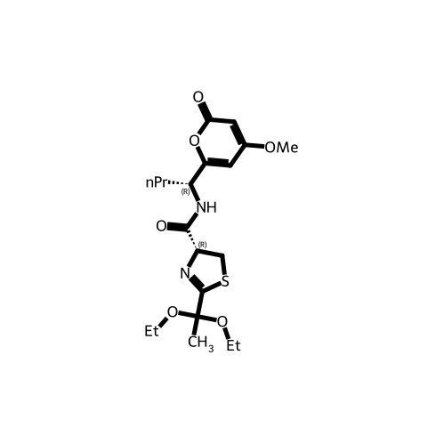 CCC[C@@H](NC(=O)[C@@H]1CSC(C(C)(OCC)OCC)=N1)c1cc(OC)cc(=O)o1